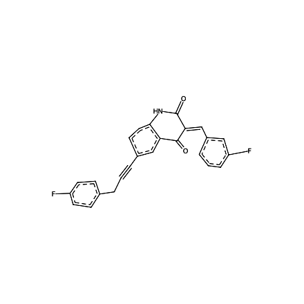 O=C1Nc2ccc(C#CCc3ccc(F)cc3)cc2C(=O)/C1=C\c1cccc(F)c1